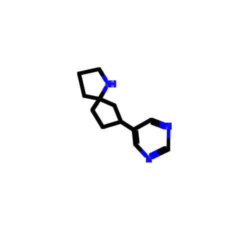 c1ncc(C2CCC3(CCCN3)C2)cn1